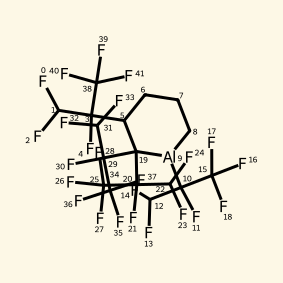 FC(F)C(F)(C1CC[CH2][Al]([C](F)(C(F)F)C(F)(F)F)[C]1(C(F)(C(F)F)C(F)(F)F)C(F)(C(F)F)C(F)(F)F)C(F)(F)F